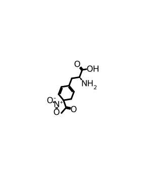 CC(=O)C1([N+](=O)[O-])C=CC(C[C@H](N)C(=O)O)=CC1